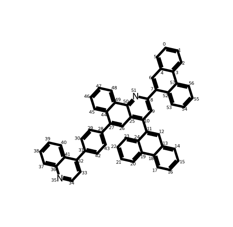 c1ccc2c(c1)cc(-c1cc(-c3cc4ccccc4c4ccccc34)c3cc(-c4ccc(-c5ccnc6ccccc56)cc4)c4ccccc4c3n1)c1ccccc12